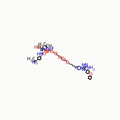 Cc1ncsc1-c1ccc(CNC(=O)[C@@H]2C[C@@H](O)CN2C(=O)[C@@H](NC(=O)COCCOCCOCCOCCOCCCCCCN2CCC(n3nc(-c4ccc(Oc5ccccc5)cc4)c4c(N)ncnc43)CC2)C(C)(C)C)cc1